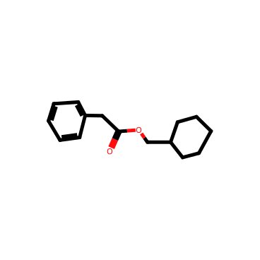 O=C(Cc1ccccc1)OCC1CCCCC1